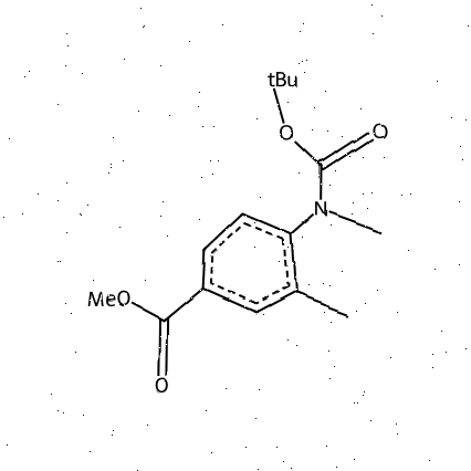 COC(=O)c1ccc(N(C)C(=O)OC(C)(C)C)c(C)c1